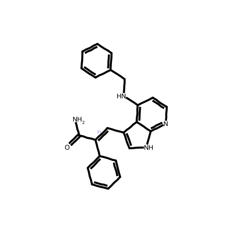 NC(=O)/C(=C/c1c[nH]c2nccc(NCc3ccccc3)c12)c1ccccc1